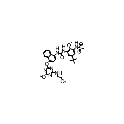 COCCNc1nc(OC)nc(Oc2ccc(NC(=O)Nc3cc(C(C)(C)C)cc(NS(C)(=O)=O)c3OC)c3ccccc23)n1